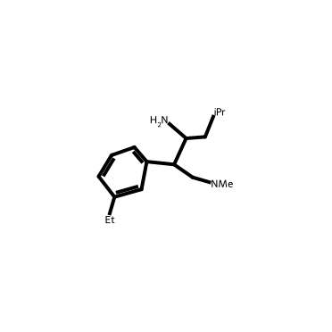 CCc1cccc(C(CNC)C(N)CC(C)C)c1